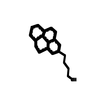 OCCCCc1cc2ccc3cccc4ccc(c1)c2c34